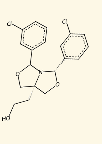 OCC[C@]12COC(c3cccc(Cl)c3)N1[C@H](c1cccc(Cl)c1)OC2